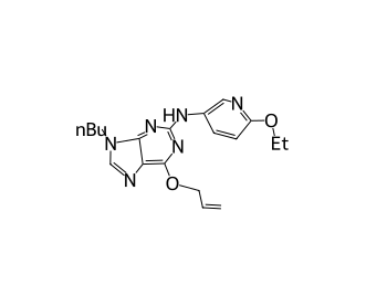 C=CCOc1nc(Nc2ccc(OCC)nc2)nc2c1ncn2CCCC